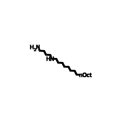 CCCCCCCCCCCCCCCCNCCCCN